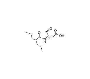 CCCC(CCC)C(=O)N[C@H]([C]=O)CC(=O)O